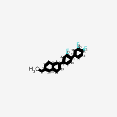 CCc1ccc2cc(-c3ccc(-c4ccc(F)c(F)c4)c(F)c3)ccc2c1